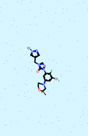 CCn1cc(Cn2cnn(-c3cc(N4CCO[C@H](C)C4)cc(C(F)(F)F)c3F)c2=O)cn1